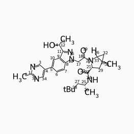 Cc1ncc(-c2ccc3c(c2)c(C(C)O)nn3CC(=O)N2[C@H](C(=O)N[C@H](C)CC(C)(C)C)C[C@@]3(C)C[C@@H]23)cn1